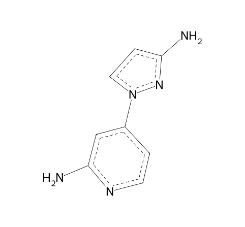 Nc1cc(-n2ccc(N)n2)ccn1